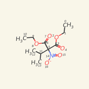 CCOC(=O)C(C(=O)OCC)(C(C)C)[N+](=O)[O-]